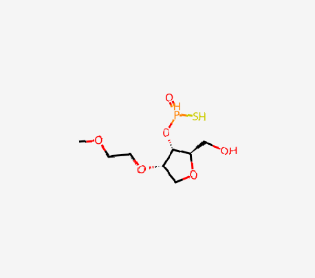 COCCO[C@H]1CO[C@H](CO)[C@H]1O[PH](=O)S